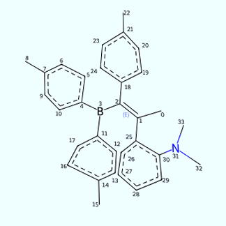 C/C(=C(/B(c1ccc(C)cc1)c1ccc(C)cc1)c1ccc(C)cc1)c1ccccc1N(C)C